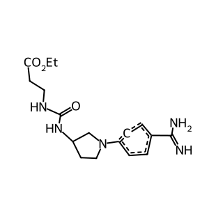 CCOC(=O)CCNC(=O)NC1CCN(c2ccc(C(=N)N)cc2)C1